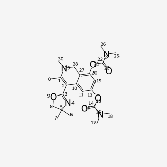 CC1=C(C2=NC(C)(C)CO2)c2cc(OC(=O)N(C)C)cc(OC(=O)N(C)C)c2CN1C